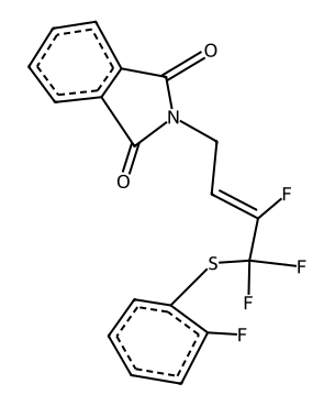 O=C1c2ccccc2C(=O)N1C/C=C(\F)C(F)(F)Sc1ccccc1F